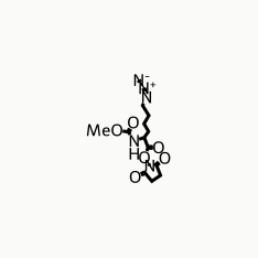 COC(=O)NC(CCCCN=[N+]=[N-])C(=O)ON1C(=O)CCC1=O